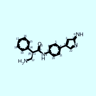 N=C1C=C(c2ccc(NC(=O)[C@@H](CN)c3ccccc3)cc2)C=N1